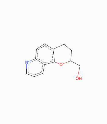 OCC1CCc2ccc3ncccc3c2O1